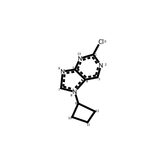 Clc1ncc2c(ncn2C2CCC2)n1